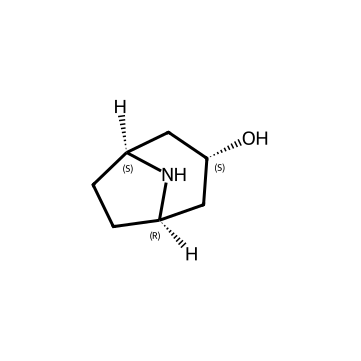 O[C@@H]1C[C@H]2CC[C@@H](C1)N2